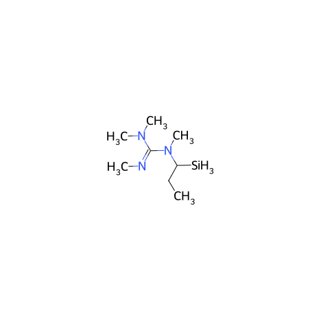 CCC([SiH3])N(C)C(=NC)N(C)C